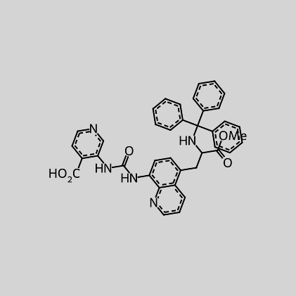 COC(=O)C(Cc1ccc(NC(=O)Nc2cnccc2C(=O)O)c2ncccc12)NC(c1ccccc1)(c1ccccc1)c1ccccc1